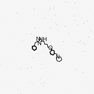 c1ccc(Cc2n[nH]c(CCCCOc3cccc(CN4CCCCC4)c3)n2)cc1